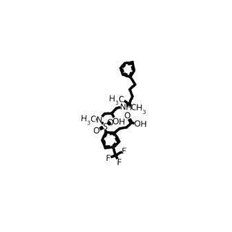 CN(CC(O)CNC(C)(C)CCCc1ccccc1)S(=O)(=O)c1ccc(C(F)(F)F)cc1CCC(=O)O